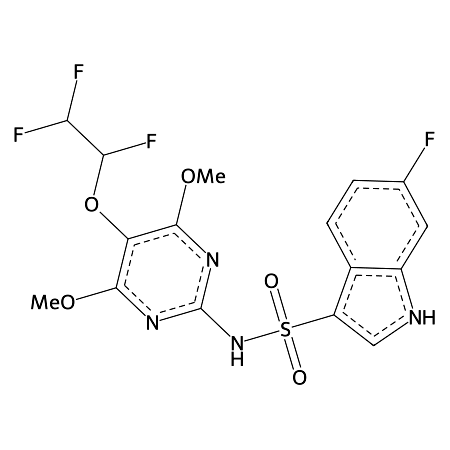 COc1nc(NS(=O)(=O)c2c[nH]c3cc(F)ccc23)nc(OC)c1OC(F)C(F)F